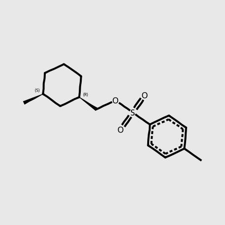 Cc1ccc(S(=O)(=O)OC[C@@H]2CCC[C@H](C)C2)cc1